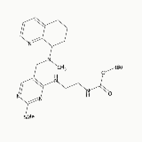 CSc1ncc(CN(C)C2CCCc3cccnc32)c(NCCNC(=O)OC(C)(C)C)n1